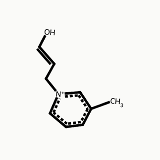 Cc1ccc[n+](CC=CO)c1